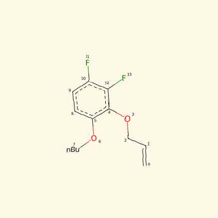 C=CCOc1c(OCCCC)ccc(F)c1F